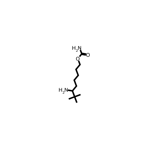 CC(C)(C)C(N)CCCCCOC(N)=O